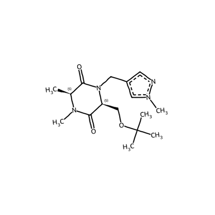 C[C@H]1C(=O)N(Cc2cnn(C)c2)[C@@H](COC(C)(C)C)C(=O)N1C